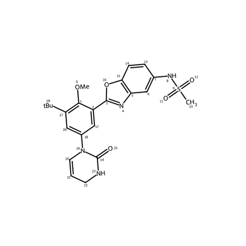 COc1c(-c2nc3cc(NS(C)(=O)=O)ccc3o2)cc(N2C=CCNC2=O)cc1C(C)(C)C